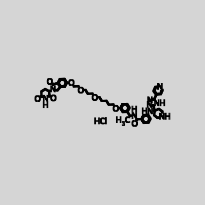 C[C@@H](NC(=O)c1cccc(NC2(c3nnc(-c4ccncc4)[nH]3)CCNCC2)c1)c1cccc(OCCCCCOCCCOCCOc2ccc3c(c2)CN(C2CCC(=O)NC2=O)C3=O)c1.Cl